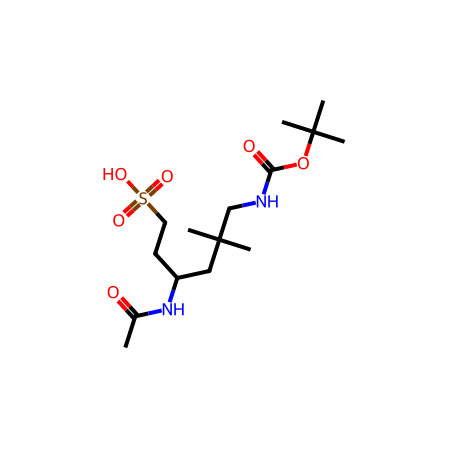 CC(=O)NC(CCS(=O)(=O)O)CC(C)(C)CNC(=O)OC(C)(C)C